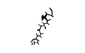 CCC(C)C(C)C(C)C(C)C(C)C(C)C(C)C(C)C(C)C(C)C(C)C(C)C(C)CS